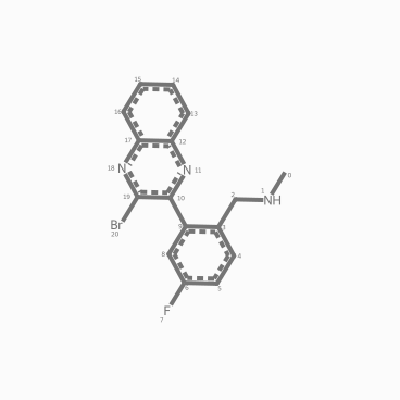 CNCc1ccc(F)cc1-c1nc2ccccc2nc1Br